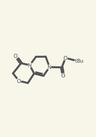 CC(C)(C)OC(=O)N1C=C2COCC(=O)N2CC1